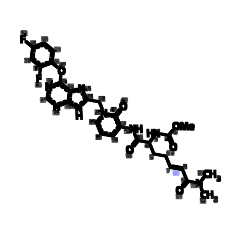 COC(=O)NC(CC/C=C/C(=O)N(C)C)C(=O)Nc1cccn(Cc2nc3c(Oc4ccc(F)cc4F)ncnc3[nH]2)c1=O